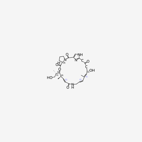 CC1=C\[C@@H](O)CC(=O)Cc2nc(c[nH]2)C(=O)N2CCC[C@@H]2C(=O)O[C@H]([C@@H](C)CO)[C@H](C)/C=C/C(=O)NC\C=C\1